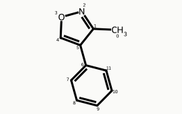 Cc1nocc1-c1ccccc1